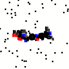 CCC(C#N)(CC)c1ccc(C(=O)Nc2ccc(-c3cnc(C(=O)NC(C(=O)O)C(C)C)s3)cc2)cc1